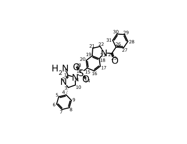 NC1=N[C@@H](c2ccccc2)CN1S(=O)(=O)c1ccc2c(c1)CCN2C(=O)c1ccccc1